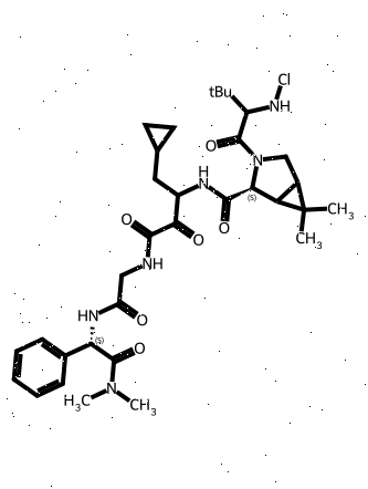 CN(C)C(=O)[C@@H](NC(=O)CNC(=O)C(=O)C(CC1CC1)NC(=O)[C@@H]1C2C(CN1C(=O)C(NCl)C(C)(C)C)C2(C)C)c1ccccc1